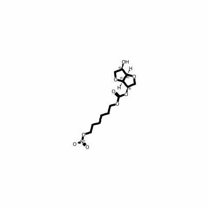 O=C(OCCCCCCO[N+](=O)[O-])O[C@@H]1CO[C@H]2[C@@H]1OC[C@H]2O